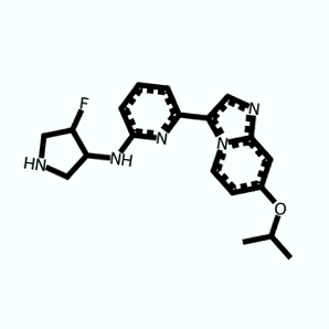 CC(C)Oc1ccn2c(-c3cccc(NC4CNCC4F)n3)cnc2c1